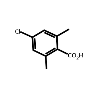 Cc1cc(Cl)cc(C)c1C(=O)O